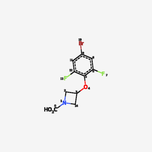 O=C(O)N1CC(Oc2c(F)cc(Br)cc2F)C1